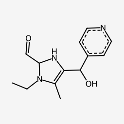 CCN1C(C)=C(C(O)c2ccncc2)NC1C=O